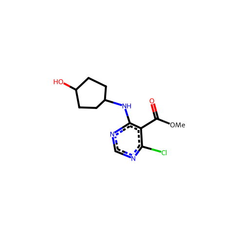 COC(=O)c1c(Cl)ncnc1NC1CCC(O)CC1